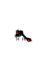 C[C@]12CC3CC(NCCCCCCCOc4cccc5nc(C(F)(F)F)n([C@H]6CCC(=O)NC6=O)c(=O)c45)(C1)C[C@@](C)(C3)C2